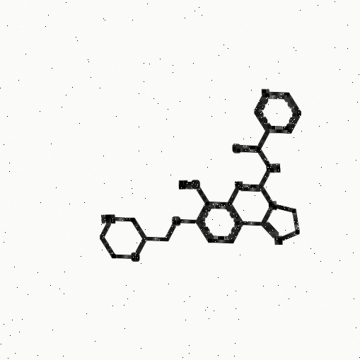 COc1c(OCC2CNCCO2)ccc2c1N=C(NC(=O)c1cccnc1)N1CCN=C21